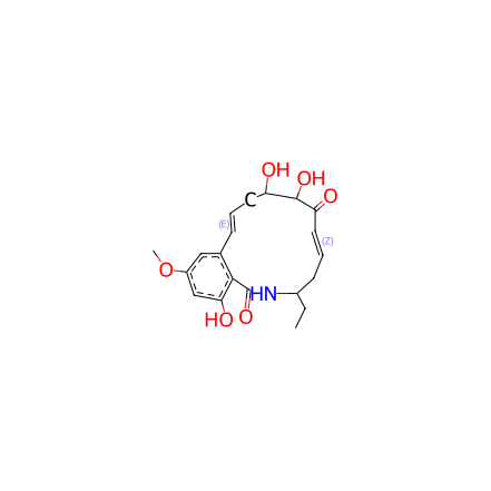 CCC1C/C=C\C(=O)C(O)C(O)C/C=C/c2cc(OC)cc(O)c2C(=O)N1